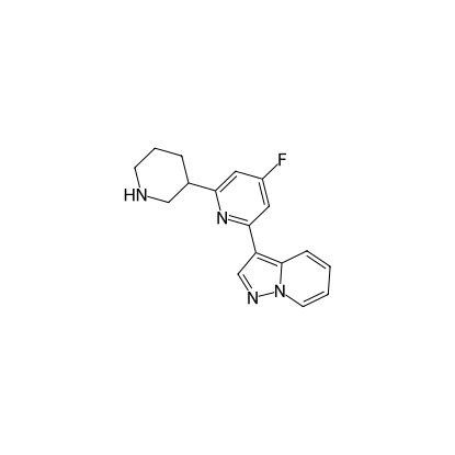 Fc1cc(-c2cnn3ccccc23)nc(C2CCCNC2)c1